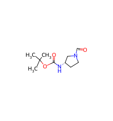 CC(C)(C)OC(=O)N[C@H]1CCN(C=O)C1